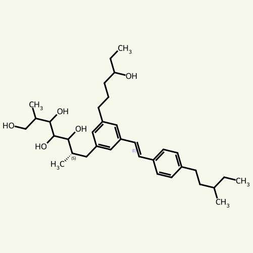 CCC(C)CCc1ccc(/C=C/c2cc(CCCC(O)CC)cc(C[C@H](C)C(O)C(O)C(O)C(C)CO)c2)cc1